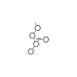 Cc1cccc(-c2cccc(-c3cc(-c4ccccc4)ccc3Nc3ccccc3)c2)c1